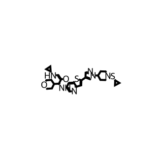 N=C(/C(=C\NC1CC1)Oc1ccnc2cc(-c3cnn(C4CCN(SC5CC5)CC4)c3)sc12)C1CCOCC1